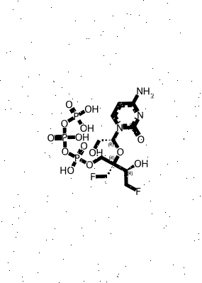 Nc1ccn([C@@H](CO)O[C@](CF)(COP(=O)(O)OP(=O)(O)OP(=O)(O)O)[C@@H](O)CF)c(=O)n1